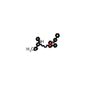 CC1C=C(C2=CC(CCC/C=C\Cc3ccc(-c4ccccc4N(c4ccccc4)c4ccc(-c5ccccc5)cc4)cc3)C(Nc3ccccc3)C=C2)C=CC1